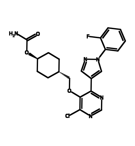 NC(=O)O[C@H]1CC[C@H](COc2c(Cl)ncnc2-c2cnn(-c3ccccc3F)c2)CC1